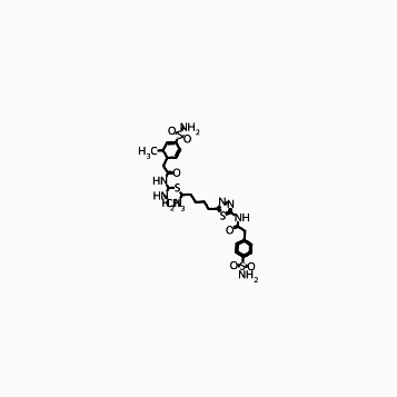 CNC(NC(=O)CC1C=CC(S(N)(=O)=O)=CC1C)SC(N)CCCCc1nnc(NC(=O)Cc2ccc(S(N)(=O)=O)cc2)s1